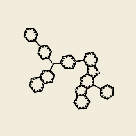 c1ccc(-c2ccc(N(c3ccc(-c4cccc5oc6c(-c7ccccc7)c7c(cc6c45)oc4ccccc47)cc3)c3ccc4ccccc4c3)cc2)cc1